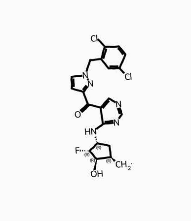 [CH2][C@@H]1C[C@@H](Nc2ncncc2C(=O)c2ccn(Cc3cc(Cl)ccc3Cl)n2)[C@@H](F)[C@@H]1O